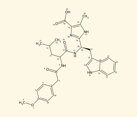 COc1ccc(CC(=O)NC(CC(C)C)C(=O)N[C@H](Cc2c[nH]c3ccccc23)c2nc(C(=O)O)c(C)[nH]2)cc1